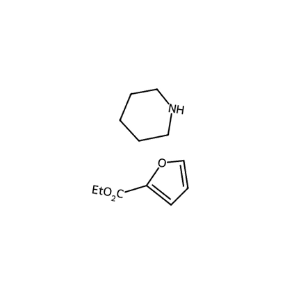 C1CCNCC1.CCOC(=O)c1ccco1